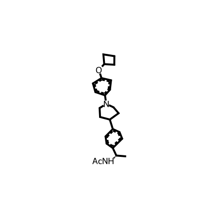 CC(=O)N[C@@H](C)c1ccc(C2CCN(c3ccc(OC4CCC4)cc3)CC2)cc1